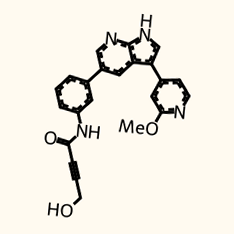 COc1cc(-c2c[nH]c3ncc(-c4cccc(NC(=O)C#CCO)c4)cc23)ccn1